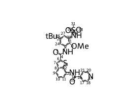 COc1c(NC(=O)c2cc3cccc(NC(=O)c4ccncc4)c3s2)cc(C(C)(C)C)cc1NS(C)(=O)=O